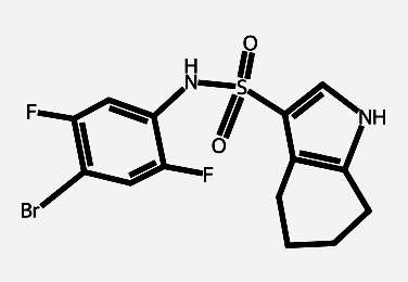 O=S(=O)(Nc1cc(F)c(Br)cc1F)c1c[nH]c2c1CCCC2